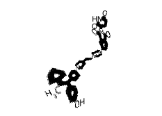 C/C(=C(\c1ccc(O)cc1)c1ccc(N2CCC(CCN3CCN(c4ccc5c(c4)C(=O)N(C4CCC(=O)NC4=O)C5=O)CC3)CC2)cc1)c1ccccc1